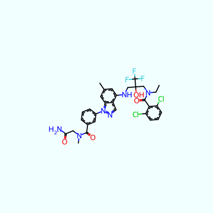 CCN(CC(O)(CNc1cc(C)cc2c1cnn2-c1cccc(C(=O)N(C)CC(N)=O)c1)C(F)(F)F)C(=O)c1c(Cl)cccc1Cl